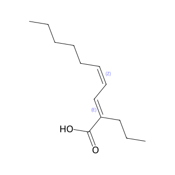 CCCCC/C=C\C=C(/CCC)C(=O)O